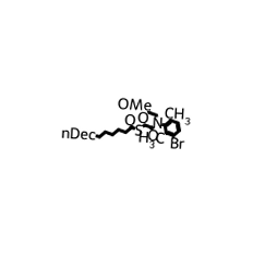 CCCCCCCCCCCCCCCC(=O)SCC(=O)N(CC(=O)OC)c1c(C)ccc(Br)c1C